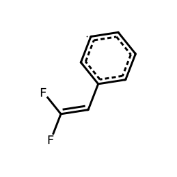 FC(F)=Cc1c[c]ccc1